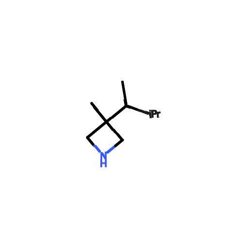 CC(C)C(C)C1(C)CNC1